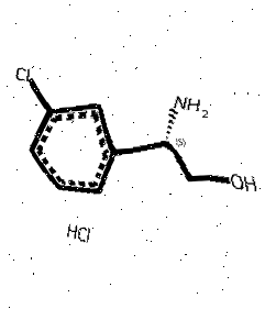 Cl.N[C@H](CO)c1cccc(Cl)c1